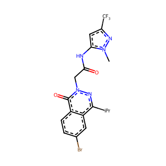 CC(C)c1nn(CC(=O)Nc2cc(C(F)(F)F)nn2C)c(=O)c2ccc(Br)cc12